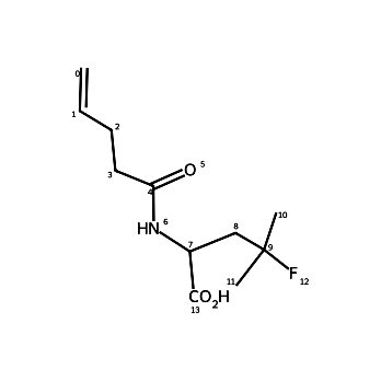 C=CCCC(=O)NC(CC(C)(C)F)C(=O)O